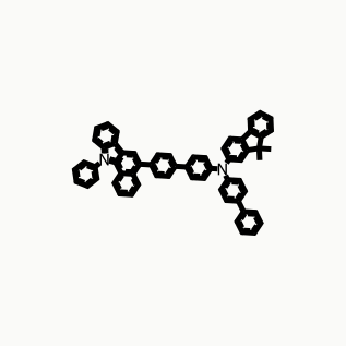 CC1(C)c2ccccc2-c2ccc(N(c3ccc(-c4ccccc4)cc3)c3ccc(-c4ccc(-c5cc6c7ccccc7n(-c7ccccc7)c6c6ccccc56)cc4)cc3)cc21